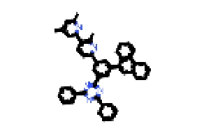 Cc1cc(C)nc(-c2ccc(-c3cc(-c4nc(-c5ccccc5)nc(-c5ccccc5)n4)cc(-c4cc5ccccc5c5ccccc45)c3)nc2C)c1